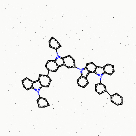 c1ccc(-c2cccc(-n3c4ccccc4c4ccc5c(c6ccccc6n5-c5ccc6c(c5)c5cc(-c7ccc8c(c7)c7ccccc7n8-c7ccccc7)ccc5n6-c5ccccc5)c43)c2)cc1